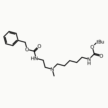 CN(CCCCCNC(=O)OC(C)(C)C)CCNC(=O)OCc1ccccc1